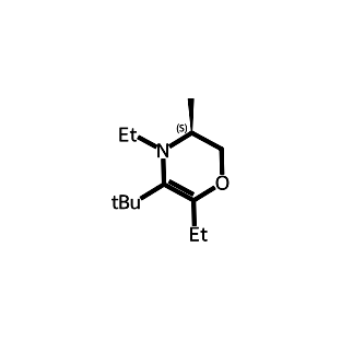 CCC1=C(C(C)(C)C)N(CC)[C@@H](C)CO1